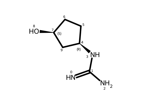 N=C(N)N[C@@H]1CC[C@H](O)C1